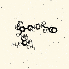 CCC1(CCC(=O)N2CCN(c3ccc(-c4cc(C(=O)NCc5c(C)cc(C)[nH]c5=O)c5cnn(C(C)C)c5c4)cn3)CC2)CC2CCCC(C2)C1